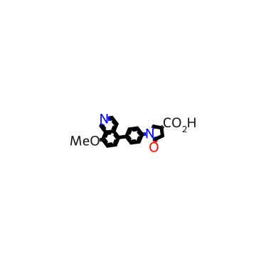 COc1ccc(-c2ccc(N3CC(C(=O)O)CC3=O)cc2)c2ccncc12